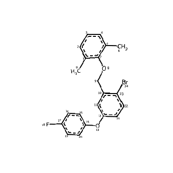 Cc1cccc(C)c1OCc1cc(Oc2ccc(F)cc2)ccc1Br